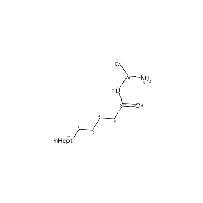 CCCCCCCCCCCC(=O)OC(N)CC